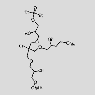 CCC(COCC(O)CCOC)(COCC(O)COOC)COCC(O)COP(=O)(CC)CC